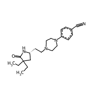 CCC1(CC)C[C@@H](CCN2CCN(c3ccc(C#N)cc3)CC2)NC1=O